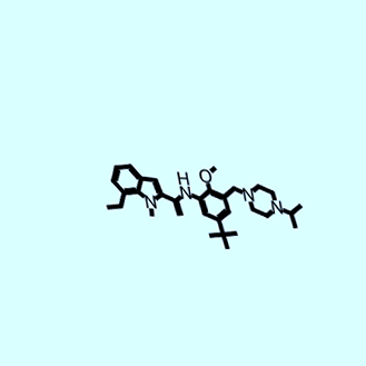 C=C(Nc1cc(C(C)(C)C)cc(CN2CCN(C(C)C)CC2)c1OC)c1cc2cccc(CC)c2n1C